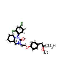 CCOC(Cc1ccc(OCCN(CC2CCCCC2)C(=O)Nc2ccc(F)cc2F)cc1)C(=O)O